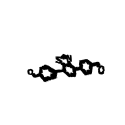 O=Cc1ccc(-c2ccc(-c3ccc(C=O)cc3)c3scnc23)cc1